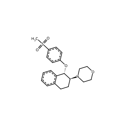 CS(=O)(=O)c1ccc(O[C@H]2c3ccccc3CC[C@@H]2N2CCOCC2)cc1